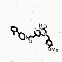 COc1ccc(CN2CC(=O)Nc3ncc(/C=C/C(=O)N4CCC=C(c5ccccc5C)CC4)cc3C2)cc1